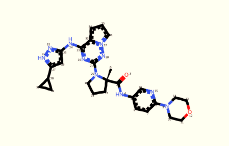 C[C@@]1(C(=O)Nc2ccc(N3CCOCC3)nc2)CCCN1c1nc(Nc2cc(C3CC3)[nH]n2)c2cccn2n1